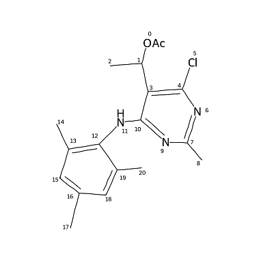 CC(=O)OC(C)c1c(Cl)nc(C)nc1Nc1c(C)cc(C)cc1C